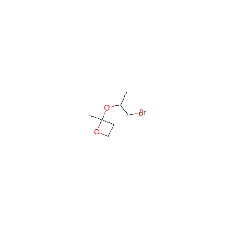 CC(CBr)OC1(C)CCO1